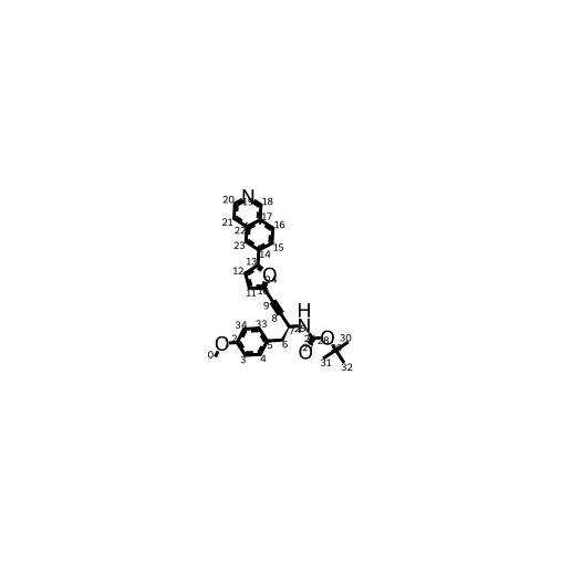 COc1ccc(C[C@@H](C#Cc2ccc(-c3ccc4cnccc4c3)o2)NC(=O)OC(C)(C)C)cc1